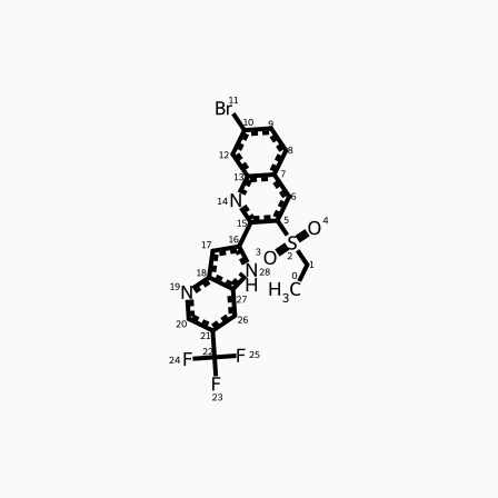 CCS(=O)(=O)c1cc2ccc(Br)cc2nc1-c1cc2ncc(C(F)(F)F)cc2[nH]1